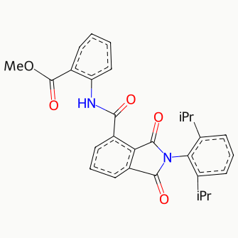 COC(=O)c1ccccc1NC(=O)c1cccc2c1C(=O)N(c1c(C(C)C)cccc1C(C)C)C2=O